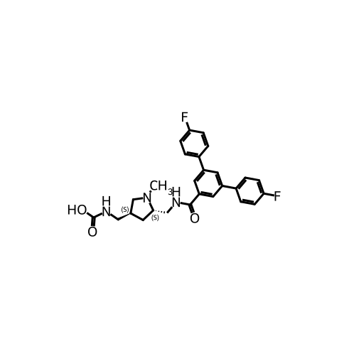 CN1C[C@H](CNC(=O)O)C[C@H]1CNC(=O)c1cc(-c2ccc(F)cc2)cc(-c2ccc(F)cc2)c1